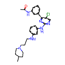 CC(=O)Nc1cccc(-c2nc(Nc3cccc(NCCCN4CCC(C)CC4)c3)ncc2Cl)c1